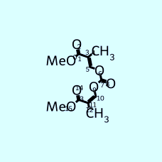 COC(=O)C(C)=COC(=O)OC=C(C)C(=O)OC